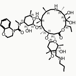 CCCNC[C@]1(O)[C@H](C)O[C@@H](O[C@H]2[C@H](C)[C@@H](O[C@@H]3O[C@H](C)C[C@H](N(C)C(=O)N4CCOc5ccccc54)[C@H]3O)[C@](C)(O)C[C@@H](C)CN[C@H](C)[C@@H](O)[C@](C)(O)[C@@H](CC)OC(=O)[C@@H]2C)C[C@@]1(C)OC